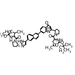 COC[C@H](NC(=O)OC(C)(C)C)C(=O)N1CCCC1c1cc(=O)c2ccc(-c3ccc4cc(-c5cnc([C@@H]6CCCN6C(=O)[C@@H](NC(=O)OC)C(C)C)[nH]5)ccc4c3)cc2[nH]1